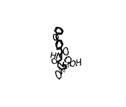 COC[C@@H]1C[C@@H](C(=O)O)N(C(=O)CNC(=O)c2ccc(Oc3ccccc3)cc2)C1